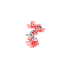 C=C1CC23CCC4C(C)(C(=O)OC5OC(CO)C(O)C(OC6OC(CO)C(O)C(O)C6O)C5OC5OC(C)C(O)C(OC6OC(CO)C(O)C(O)C6O)C5O)CCCC4(C)C2CCC1(OC1OC(CO)C(O)C(OC2OC(CO)C(O)C(O)C2O)C1OC1OC(CO)C(O)C(O)C1O)C3